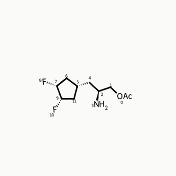 CC(=O)OC[C@@H](N)C[C@H]1C[C@@H](F)[C@@H](F)C1